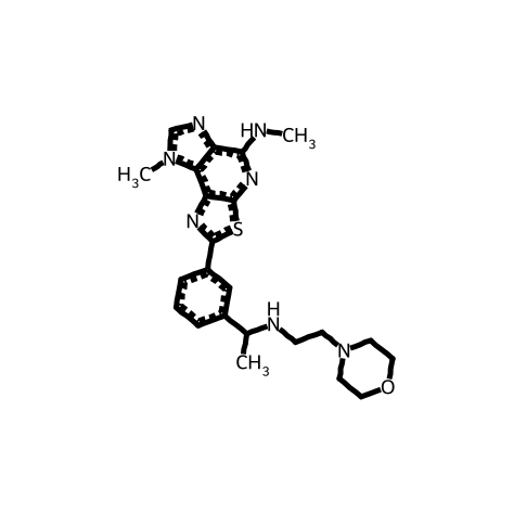 CNc1nc2sc(-c3cccc(C(C)NCCN4CCOCC4)c3)nc2c2c1ncn2C